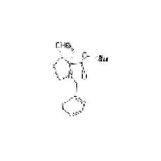 C=C[C@@]1(C(=O)OC(C)(C)C)[C@@H](C=O)CCN1Cc1ccccc1